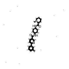 CN1CCCCC1C(=O)NC1CCC(NC(=O)c2ccc(-c3cccc(F)c3)nc2)CC1